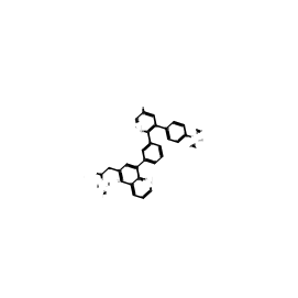 CC(Cc1cc(-c2cccc(-c3ncc(C(F)(F)F)cc3-c3ccc(S(C)(=O)=O)cc3)c2)c2ncccc2c1)S(C)(=O)=O